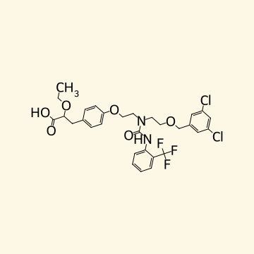 CCOC(Cc1ccc(OCCN(CCOCc2cc(Cl)cc(Cl)c2)C(=O)Nc2ccccc2C(F)(F)F)cc1)C(=O)O